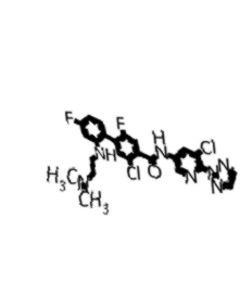 CN(C)CCNc1cc(F)ccc1-c1cc(Cl)c(C(=O)Nc2cnc(-n3nccn3)c(Cl)c2)cc1F